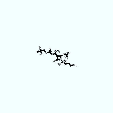 CCCC[Si](C)(C)N1C(=O)C(C(C)OC(=O)OCC(Cl)(Cl)Cl)C1SC(=S)S